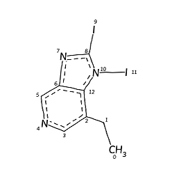 CCc1cncc2nc(I)n(I)c12